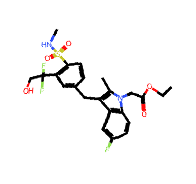 CCOC(=O)Cn1c(C)c(Cc2ccc(S(=O)(=O)NC)c(C(F)(F)CO)c2)c2cc(F)ccc21